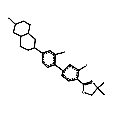 CC1CCC2CC(c3ccc(-c4ccc(C5=NC(C)(C)CO5)c(F)c4)c(F)c3)CCC2C1